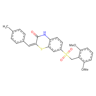 COc1cccc(OC)c1CS(=O)(=O)c1ccc2c(c1)S/C(=C/c1ccc(C)cc1)C(=O)N2